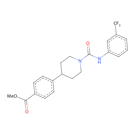 COC(=O)c1ccc(C2CCN(C(=O)Nc3cccc(C(F)(F)F)c3)CC2)cc1